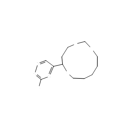 Oc1nncc(C2CCCCCCCCCCC2)n1